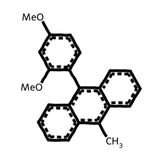 COc1ccc(-c2c3ccccc3c(C)c3ccccc23)c(OC)c1